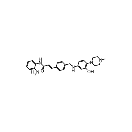 CN1CCN(c2ccc(NCc3ccc(C=CC(=O)Nc4ccccc4N)cc3)cc2O)CC1